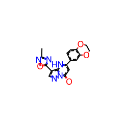 Cc1noc(-c2cnn3c(=O)cc(-c4ccc5c(c4)OCCO5)[nH]c23)n1